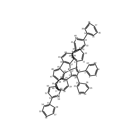 c1ccc(C2=C(c3ccccc3)[Si]3(C(c4ccccc4)=C2c2ccccc2)c2cc(-c4ccc(-c5ccccc5)nc4)ccc2-c2ccc(-c4ccc(-c5ccccc5)nc4)cc23)cc1